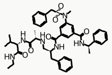 CCNC(=O)[C@@H](NC(=O)[C@H](C)NC[C@H](Cc1ccccc1)NC(=O)c1cc(C(=O)N[C@H](C)c2ccccc2)cc(N(C)S(=O)(=O)Cc2ccccc2)c1)C(C)C